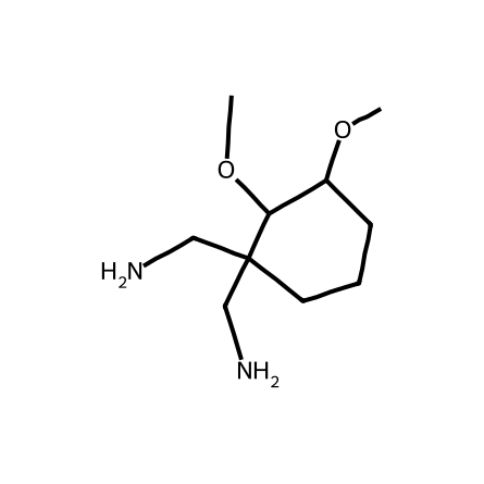 COC1CCCC(CN)(CN)C1OC